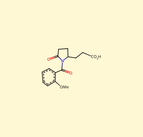 COc1ccccc1C(=O)N1C(=O)CCC1CCC(=O)O